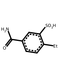 CCc1ccc(C(N)=O)cc1S(=O)(=O)O